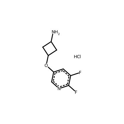 Cl.NC1CC(Oc2cnc(F)c(F)c2)C1